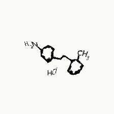 Cc1ccccc1CCc1ccc(N)cc1.Cl